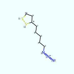 [N-]=[N+]=NCCCCCC1CCSS1